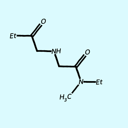 CCC(=O)CNCC(=O)N(C)CC